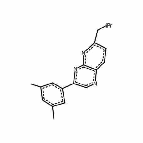 Cc1cc(C)cc(-c2cnc3ccc(CC(C)C)nc3n2)c1